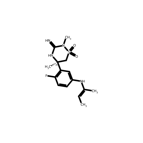 CC=C(C)Nc1ccc(F)c([C@]2(C)CS(=O)(=O)N(C)C(=N)N2)c1